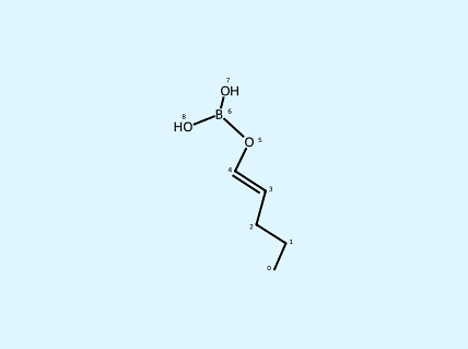 CCCC=COB(O)O